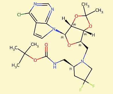 CC(C)(C)OC(=O)NC[C@@H]1CC(F)(F)CN1C[C@H]1O[C@@H](n2ccc3c(Cl)ncnc32)[C@@H]2OC(C)(C)O[C@@H]21